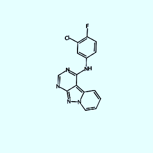 Fc1ccc(Nc2ncnc3nn4ccccc4c23)cc1Cl